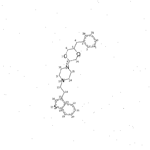 c1ccc(CC2COC(N3CCN(CCc4csc5ccccc45)CC3)CO2)cc1